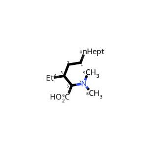 CCCCCCCCCC(CC)C(C(=O)O)N(C)C